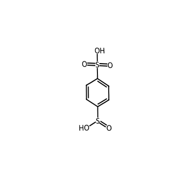 O=S(O)c1ccc(S(=O)(=O)O)cc1